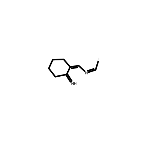 N=C1CCCC/C1=C/N=C\I